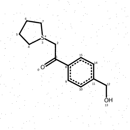 O=C(C[S+]1CCCC1)c1ccc(CO)cc1